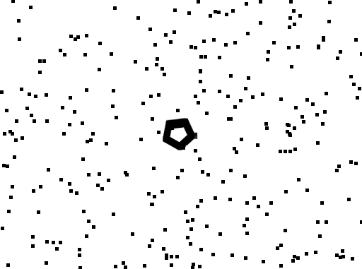 [C]1C=CCC1